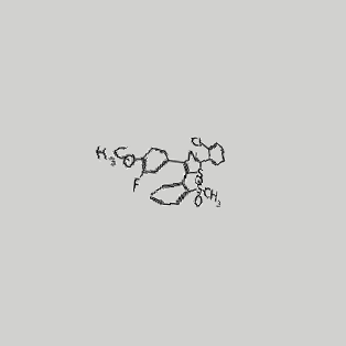 COc1ccc(-c2nc(-c3ccccc3Cl)sc2-c2ccccc2S(C)(=O)=O)cc1F